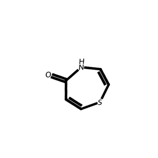 O=C1C=CSC=CN1